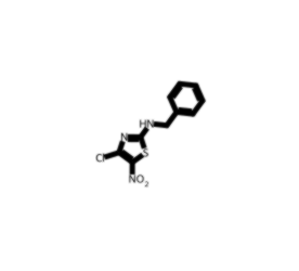 O=[N+]([O-])c1sc(NCc2ccccc2)nc1Cl